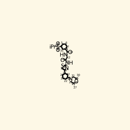 CC(C)S(=O)(=O)c1cccc(C(=O)NCC(=O)Nc2nc(-c3cccc(N4C[C@@H](C)O[C@@H](C)C4)c3)cs2)c1